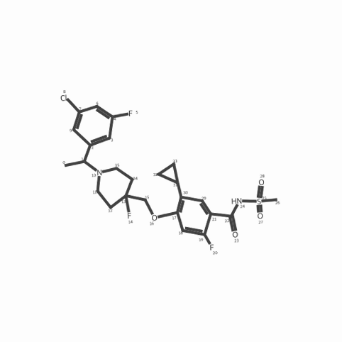 CC(c1cc(F)cc(Cl)c1)N1CCC(F)(COc2cc(F)c(C(=O)NS(C)(=O)=O)cc2C2CC2)CC1